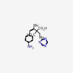 CC(C)(C)CC(C(=O)O)(C(=O)O)C(=Cc1ccc(N)cc1)C(C)(C)C.c1ncncn1